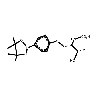 C[C@H](O)[C@H](COc1ccc(B2OC(C)(C)C(C)(C)O2)cc1)NC(=O)O